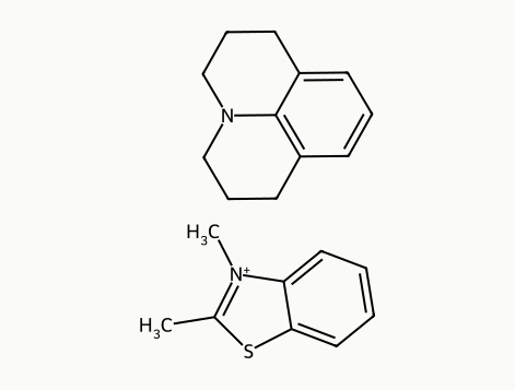 Cc1sc2ccccc2[n+]1C.c1cc2c3c(c1)CCCN3CCC2